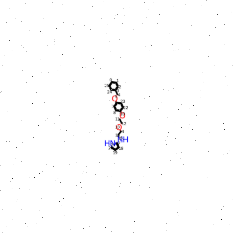 c1ccc(COc2ccc(OCCOCCNc3ccc[nH]3)cc2)cc1